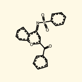 O=C(c1ccccc1)c1cc(=NS(=O)(=O)c2ccccc2)c2ccccc2o1